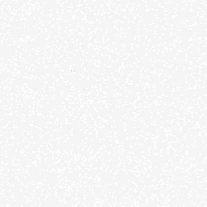 CC1(C)Cc2c3c(cc(C(=O)Nc4ccc(F)c(C(F)(F)F)c4)c2O1)NC(Nc1c(F)cccc1Cl)N3.Cl